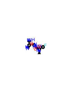 Cn1ncc2cc(Oc3cnc(NC(=O)c4nn(C5CC5)cc(-c5ccc(F)cc5)c4=O)nc3)c(-c3cn[nH]c3)cc21